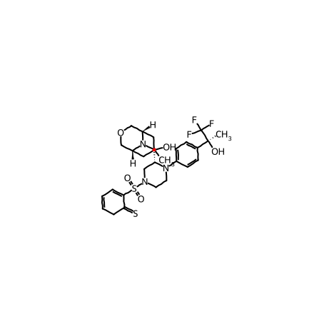 CC1(O)C[C@H]2COC[C@@H](C1)N2C[C@H]1CN(S(=O)(=O)C2=CC=CCC2=S)CCN1c1ccc([C@](C)(O)C(F)(F)F)cc1